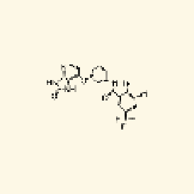 O=C(Nc1cccc(Oc2ccnc3[nH]c(=O)[nH]c23)c1)c1cc(C(F)(F)F)cc(Cl)c1F